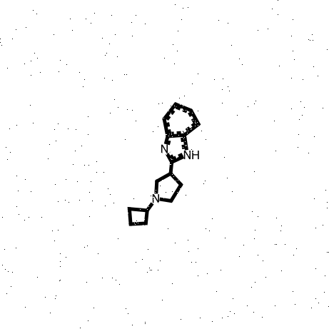 c1ccc2[nH]c(C3CCN(C4CCC4)C3)nc2c1